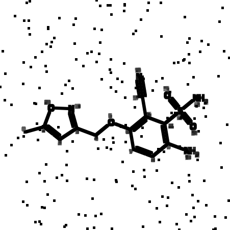 Cc1cc(COc2ccc(N)c(S(N)(=O)=O)c2C#N)no1